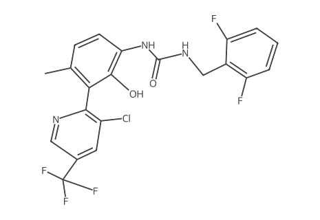 Cc1ccc(NC(=O)NCc2c(F)cccc2F)c(O)c1-c1ncc(C(F)(F)F)cc1Cl